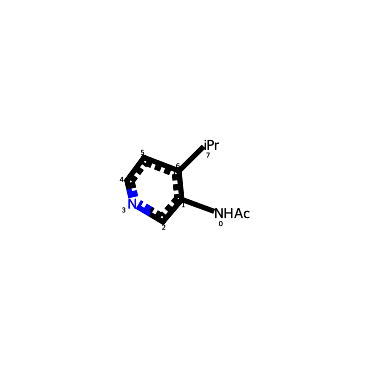 CC(=O)Nc1cnccc1C(C)C